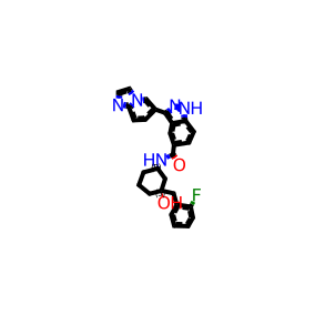 O=C(N[C@@H]1CCC[C@](O)(Cc2ccccc2F)C1)c1ccc2[nH]nc(-c3ccc4nccn4c3)c2c1